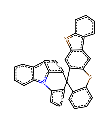 c1ccc2c(c1)Sc1cc3c(cc1C21c2ccccc2-n2c4ccccc4c4cccc1c42)sc1ccccc13